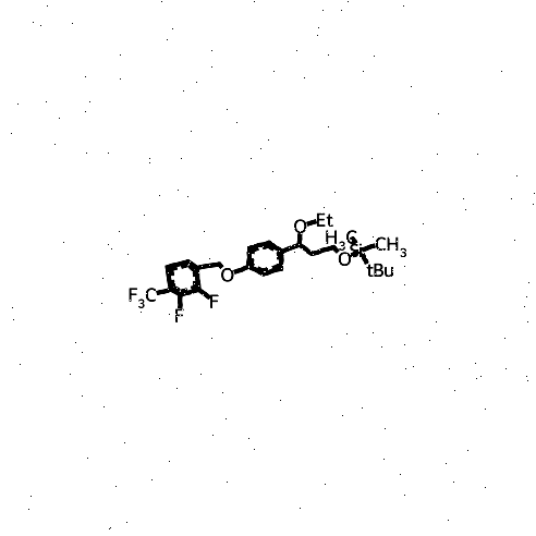 CCOC(CCO[Si](C)(C)C(C)(C)C)c1ccc(OCc2ccc(C(F)(F)F)c(F)c2F)cc1